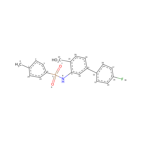 Cc1ccc(S(=O)(=O)Nc2cc(-c3ccc(F)cc3)ccc2C(=O)O)cc1